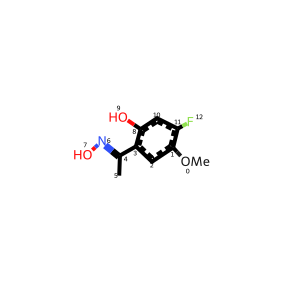 COc1cc(/C(C)=N/O)c(O)cc1F